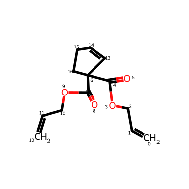 C=CCOC(=O)C1(C(=O)OCC=C)C=CCC1